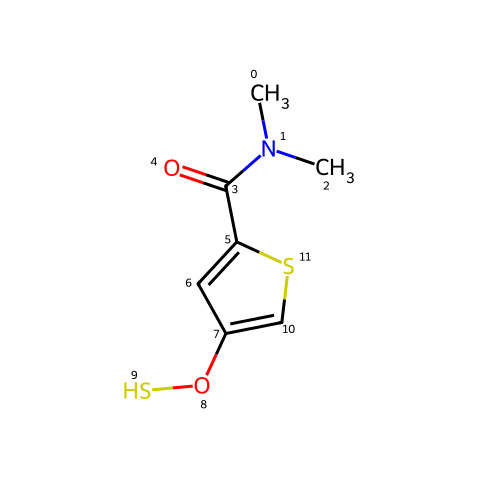 CN(C)C(=O)c1cc(OS)cs1